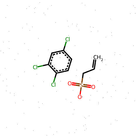 C=CCS([O])(=O)=O.Clc1ccc(Cl)c(Cl)c1